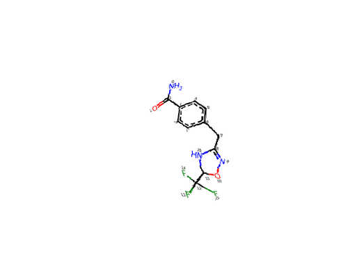 NC(=O)c1ccc(CC2=NOC(C(F)(F)F)N2)cc1